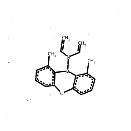 C=CN(C=C)B1c2c(C)cccc2Oc2cccc(C)c21